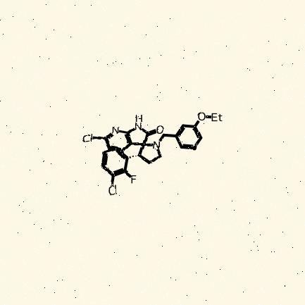 CCOc1cccc(CN2CC[C@H](c3cccc(Cl)c3F)C23C(=O)Nc2nc(Cl)ccc23)c1